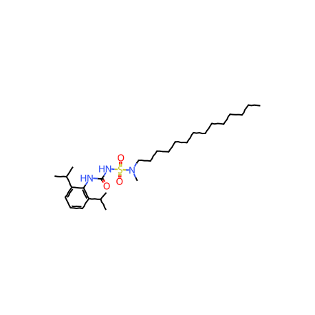 CCCCCCCCCCCCCCN(C)S(=O)(=O)NC(=O)Nc1c(C(C)C)cccc1C(C)C